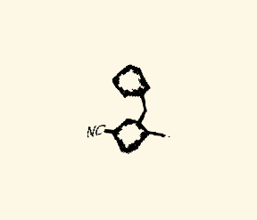 [CH2]c1ccc(C#N)cc1Cc1ccccc1